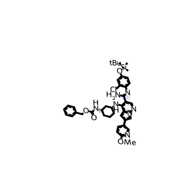 COc1ccc(-c2cc3c(N[C@H]4CCC[C@H](NC(=O)OCc5ccccc5)C4)c(/C(N)=N/c4ccc(O[Si](C)(C)C(C)(C)C)cc4Cl)cnn3c2)cn1